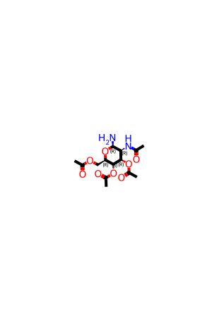 CC(=O)N[C@@H]1[C@@H](OC(C)=O)[C@H](OC(C)=O)[C@@H](COC(C)=O)O[C@H]1N